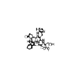 COC(=O)[C@H](CO)NC(=O)[C@H](Cc1c[nH]c2ccccc12)NC(=O)[C@H](Cc1c[nH]cn1)NC(=O)[C@@H]1CCC(=O)N1